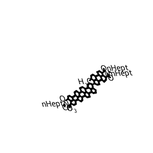 CCCCCCCC(C)N1C(=O)c2ccc3c4ccc5c6ccc7c8cccc9c(-c%10ccc%11c%12ccc%13c%14c(ccc(c%15ccc(C)c%10c%15%11)c%14%12)C(=O)N(C(CCCCCCC)CCCCCCC)C%13=O)ccc(c%10ccc(c%11ccc(c%12ccc(c2c3%12)C1=O)c4c5%11)c6c7%10)c98